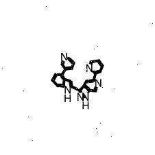 c1ccc(-c2cc3c(-c4cc5c(-c6cccnc6)cccc5[nH]4)n[nH]c3cn2)nc1